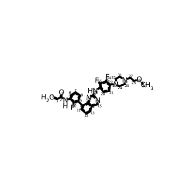 C=CC(=O)Nc1cccc(-c2cccc3cnc(Nc4ccc(N5CCN(CCOC)CC5)c(F)c4F)nc23)c1F